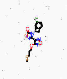 CSCCCOc1nonc1-c1noc(=O)n1[C@H]1Cc2ccc(F)cc21